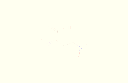 O=C(O)/C(CC[N+](=O)[O-])=N\O